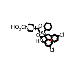 O=C(O)N1CCN(C(=O)C[As](C2CCCCC2)C2(Cc3cccc(Cl)c3)C(=O)Nc3cc(Cl)ccc32)CC1